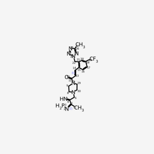 C/C(=N/P)C(=N)CN1CCN(C(=O)/C=C/c2ccc(C(F)(F)F)cc2Cn2nnc(C)n2)CC1